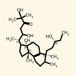 CC[C@@H](O)CC[C@]1(C)C2=C(CCC1C)[C@]1(C)CCC([C@H](C)C(O)CC(=O)C(C)(C)O)[C@@]1(C)CC2